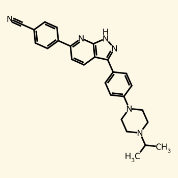 CC(C)N1CCN(c2ccc(-c3n[nH]c4nc(-c5ccc(C#N)cc5)ccc34)cc2)CC1